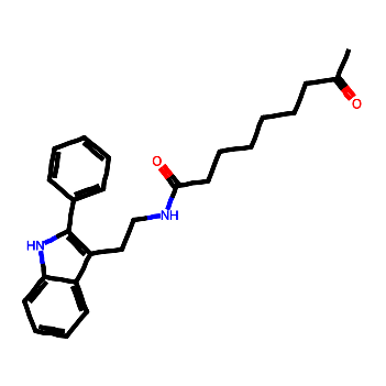 CC(=O)CCCCCCC(=O)NCCc1c(-c2ccccc2)[nH]c2ccccc12